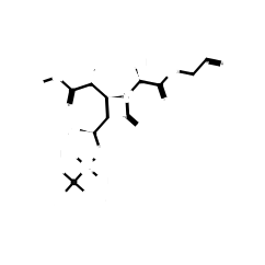 C=CCOC(=O)[C@H](O)N1C(=O)[C@H]([C@H](C)O[Si](C)(C)C(C)(C)C)[C@H]1[C@@H](C)C(=S)SC